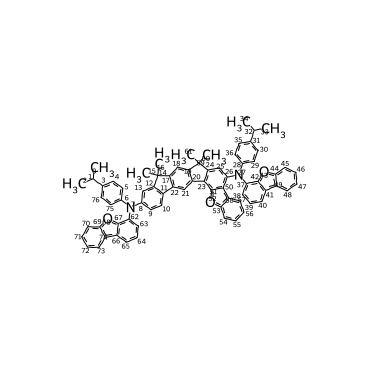 CC(C)c1ccc(N(c2ccc3c(c2)C(C)(C)c2cc4c(cc2-3)-c2c(cc(N(c3ccc(C(C)C)cc3)c3cccc5c3oc3ccccc35)c3c2oc2ccccc23)C4(C)C)c2cccc3c2oc2ccccc23)cc1